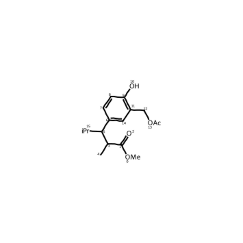 COC(=O)C(C)C(c1ccc(O)c(COC(C)=O)c1)C(C)C